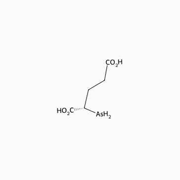 O=C(O)CC[C@H]([AsH2])C(=O)O